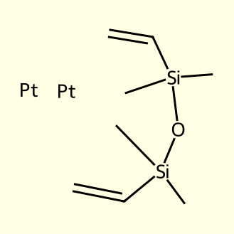 C=C[Si](C)(C)O[Si](C)(C)C=C.[Pt].[Pt]